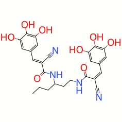 CCCC(CCNC(=O)C(C#N)=Cc1cc(O)c(O)c(O)c1)NC(=O)C(C#N)=Cc1cc(O)c(O)c(O)c1